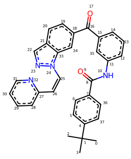 CC(C)(C)c1ccc(C(=O)Nc2cccc(C(=O)c3ccc4cnn(C=Cc5ccccn5)c4c3)c2)cc1